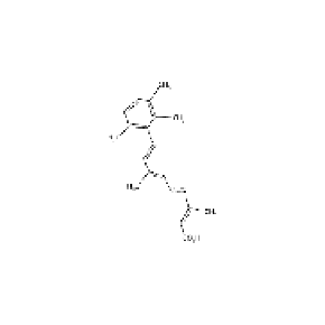 CC(C=Cc1c(C)ccc(C)c1C)=CC=CC(C)=CC(=O)O